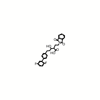 O=C(O)C(CCN1C(=O)c2ccccc2C1=O)C(O)CCc1ccc(-c2cc(F)ccc2F)cc1